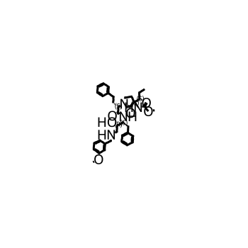 CC[C@H](C)[C@@]1(NC(=O)OC)CCN([C@@H](CCc2ccccc2)C(=O)N[C@@H](Cc2ccccc2)[C@H](O)CNCc2cccc(OC)c2)C1=O